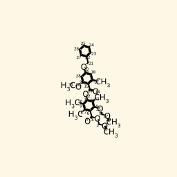 COCOC(=O)c1c(C)c(C)c(OC(=O)c2c(C)cc(OCc3ccccc3)cc2OC)c(C)c1OCOC